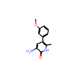 COc1cccc(-c2cc(N)c(=O)[nH]c2C)c1